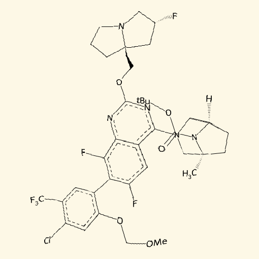 COCOc1cc(Cl)c(C(F)(F)F)cc1-c1c(F)cc2c(N3C[C@H]4CC[C@@](C)(C3)N4C(=O)OC(C)(C)C)nc(OC[C@@]34CCCN3C[C@H](F)C4)nc2c1F